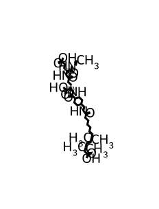 CCCNC(=O)[C@H](CCC(=O)O)NC(=O)CC[C@@H](NC(=O)C1CCC(CNC(=O)CCCCCCC(C)(C)CCC(C)(C)CC(=O)O)CC1)C(=O)O